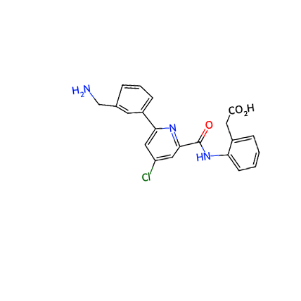 NCc1cccc(-c2cc(Cl)cc(C(=O)Nc3ccccc3CC(=O)O)n2)c1